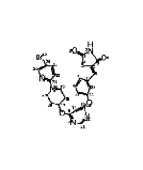 O=C1NC(=O)/C(=C/c2cccc(Oc3cc(OC4CCN(c5ccc(Br)cn5)CC4)ncn3)c2)S1